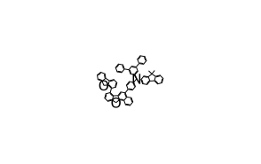 CC1(C)c2ccccc2-c2ccc(N(c3ccc(-c4cc5c(oc6cccc(-c7cccc8c7oc7ccccc78)c65)c5ccccc45)cc3)c3cc(-c4ccccc4)cc(-c4ccccc4)c3)cc21